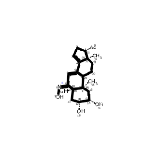 CC(=O)[C@H]1CC=C2C3=C/C(=N/O)[C@@H]4C[C@@H](O)[C@@H](O)C[C@]4(C)C3CC[C@@]21C